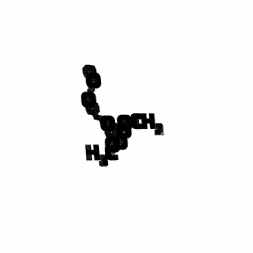 C=CCOC(=O)Cc1cc(C(=O)OCC)ccc1OCCCc1ccc(OCCCCOc2ccccc2)cc1